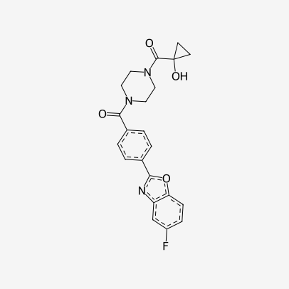 O=C(c1ccc(-c2nc3cc(F)ccc3o2)cc1)N1CCN(C(=O)C2(O)CC2)CC1